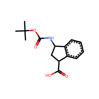 CC(C)(C)OC(=O)NC1CC(C(=O)O)c2ccccc21